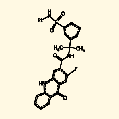 CCNS(=O)(=O)c1cccc(C(C)(C)NC(=O)c2cc3[nH]c4ccccc4c(=O)c3cc2F)c1